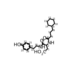 O=C(O)CC(NC(=O)CCCC1CCCCC1)C(=O)NCCc1ccc(O)cc1